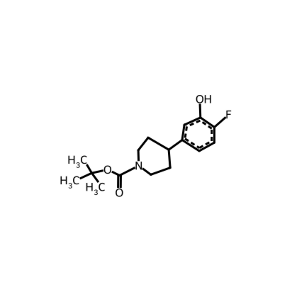 CC(C)(C)OC(=O)N1CCC(c2ccc(F)c(O)c2)CC1